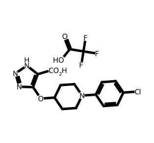 O=C(O)C(F)(F)F.O=C(O)c1[nH]nnc1OC1CCN(c2ccc(Cl)cc2)CC1